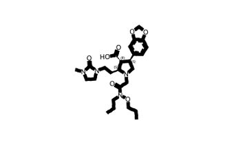 CCCON(CCC)C(=O)CN1C[C@H](c2ccc3c(c2)OCO3)[C@@H](C(=O)O)[C@@H]1CCN1CCN(C)C1=O